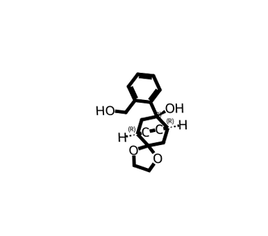 OCc1ccccc1[C@@]1(O)C[C@H]2CC[C@@H]1CC21OCCO1